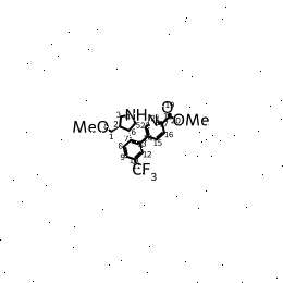 COC[C@H]1CNC[C@@H]1c1ccc(C(F)(F)F)cc1-c1ccc(C(=O)OC)nc1